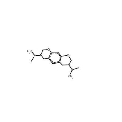 BP(I)N1COc2cc3c(cc2C1)CN(B(P)I)CO3